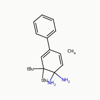 C.CC(C)(C)C1(C(C)(C)C)C=C(c2ccccc2)C=CC1(N)N